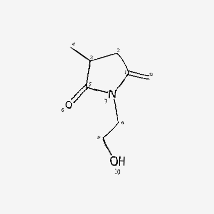 C=C1CC(C)C(=O)N1CCO